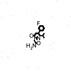 CC(C)c1nn(CC(N)=O)c(=O)cc1-c1cccc(F)c1